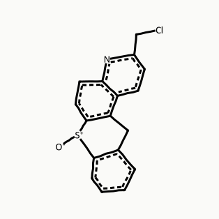 [O-][S+]1c2ccccc2Cc2c1ccc1nc(CCl)ccc21